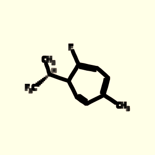 CC1=CC=C(F)C([C@@H](C)C(F)(F)F)C=C1